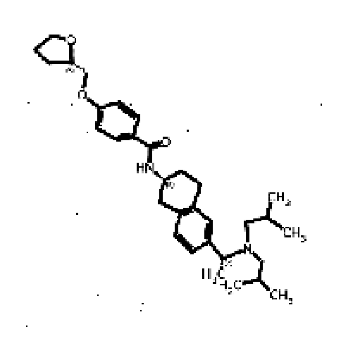 CC(C)CN(CC(C)C)[C@H](C)c1ccc2c(c1)CC[C@H](NC(=O)c1ccc(OC[C@@H]3CCCO3)cc1)C2